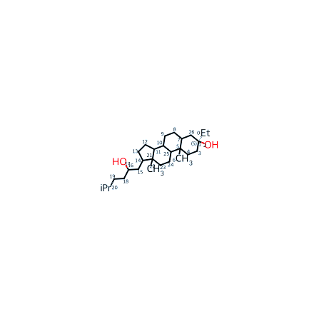 CC[C@]1(O)CCC2(C)C(CCC3C4CCC(CC(O)CCC(C)C)C4(C)CCC32)C1